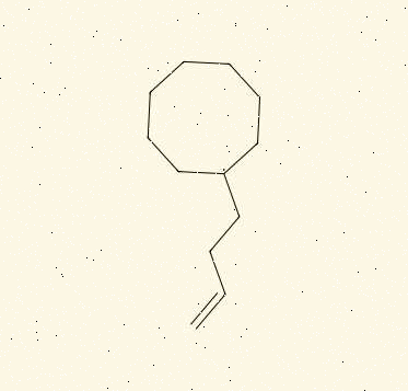 C=CCC[C]1CCCCCCC1